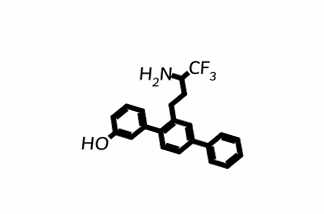 NC(CCc1cc(-c2ccccc2)ccc1-c1cccc(O)c1)C(F)(F)F